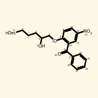 CCCCCCCCCCCCCC(O)COc1ccc([N+](=O)[O-])cc1C(=O)c1ccccc1